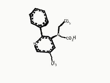 O=C(O)N(CC(Cl)(Cl)Cl)c1cc(C(F)(F)F)cnc1-c1ccccc1